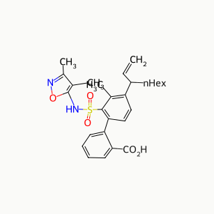 C=CC(CCCCCC)c1ccc(-c2ccccc2C(=O)O)c(S(=O)(=O)Nc2onc(C)c2C)c1C